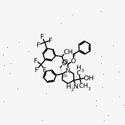 CC(OC[C@@]1(c2ccccc2)CCC(N)(C(C)(C)O)CN1C(=O)OCc1ccccc1)c1cc(C(F)(F)F)cc(C(F)(F)F)c1